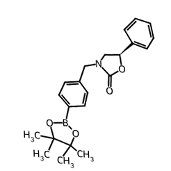 CC1(C)OB(c2ccc(CN3C[C@@H](c4ccccc4)OC3=O)cc2)OC1(C)C